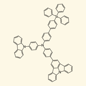 c1ccc([Si](c2ccccc2)(c2ccccc2)c2ccc(-c3ccc(N(c4ccc(-c5cc6c7ccccc7n7c8ccccc8c(c5)c67)cc4)c4ccc(-n5c6ccccc6c6ccccc65)cc4)cc3)cc2)cc1